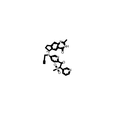 C#CCN(c1ccc(C(=O)C(c2cccnc2)S(C)(=O)=O)nc1)[C@@H]1CCc2cc3nc(C)[nH]c(=O)c3cc21